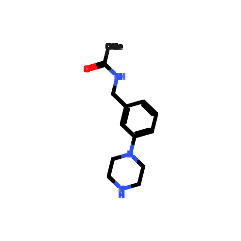 COC(=O)NCc1cccc(N2CCNCC2)c1